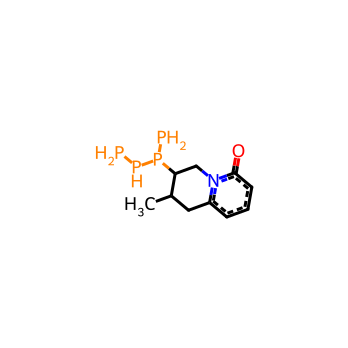 CC1Cc2cccc(=O)n2CC1P(P)PP